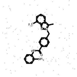 Cc1c2cccc(C(F)(F)F)c2nn1Cc1ccc(C(=O)Nc2ccccc2N)cc1